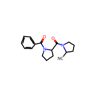 N#CC1CCCN1C(=O)C1CCCN1C(=O)c1ccccc1